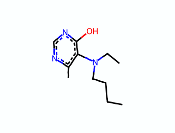 CCCCN(CC)c1c(C)ncnc1O